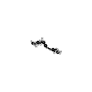 O=C1CCC(N2C(=O)c3ccc(OCCCOc4ccc(-c5cnc6[nH]cc(C(=O)c7c(F)ccc(NS(=O)(=O)N8CC[C@@H](F)C8)c7F)c6c5)cc4)cc3C2=O)C(=O)N1